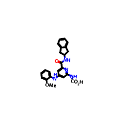 COc1ccccc1Nc1cc(NC(=O)O)nc(C(=O)NC2Cc3ccccc3C2)c1